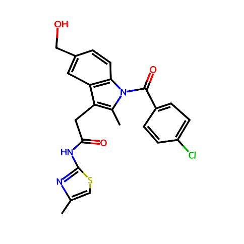 Cc1csc(NC(=O)Cc2c(C)n(C(=O)c3ccc(Cl)cc3)c3ccc(CO)cc23)n1